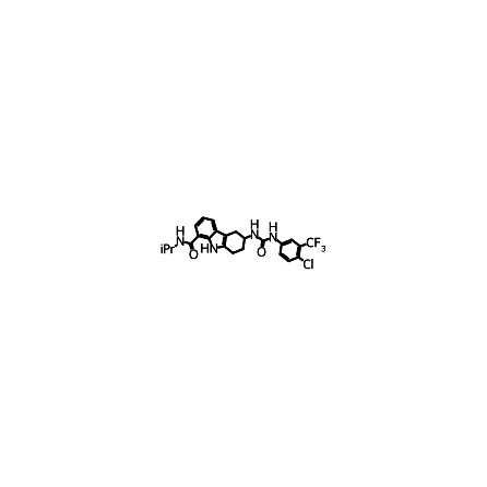 CC(C)NC(=O)c1cccc2c3c([nH]c12)CCC(NC(=O)Nc1ccc(Cl)c(C(F)(F)F)c1)C3